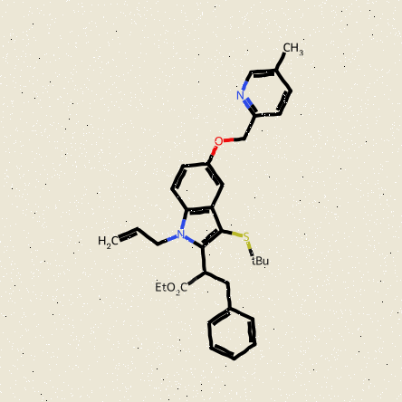 C=CCn1c(C(Cc2ccccc2)C(=O)OCC)c(SC(C)(C)C)c2cc(OCc3ccc(C)cn3)ccc21